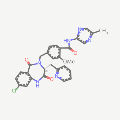 COc1cc(CN2C(=O)c3ccc(Cl)cc3NC(=O)[C@H]2Cc2ccccn2)ccc1C(=O)Nc1cnc(C)cn1